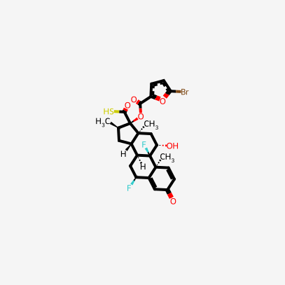 C[C@@H]1C[C@H]2[C@@H]3C[C@H](F)C4=CC(=O)C=C[C@]4(C)[C@@]3(F)[C@@H](O)C[C@]2(C)[C@@]1(OC(=O)c1ccc(Br)o1)C(=O)S